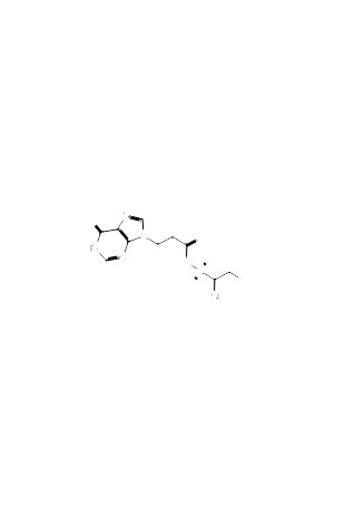 CCC(N)S(=O)(=O)OC(=O)CCn1cnc2c(=O)[nH]cnc21